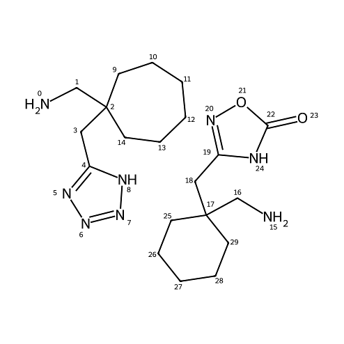 NCC1(Cc2nnn[nH]2)CCCCCC1.NCC1(Cc2noc(=O)[nH]2)CCCCC1